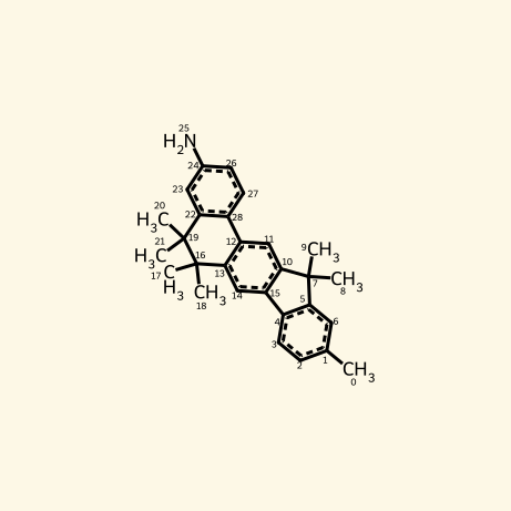 Cc1ccc2c(c1)C(C)(C)c1cc3c(cc1-2)C(C)(C)C(C)(C)c1cc(N)ccc1-3